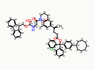 C=C(CCC(=O)OC(c1ccccc1)(c1ccc(C2CCCCCCC2)cc1)c1ccccc1Cl)c1cccc(C[C@H](NC(O)OCC2c3ccccc3-c3ccccc32)C(=O)N2CCCCC2)c1